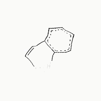 O=C(O)/C=C\c1ccccc1Cl